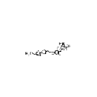 CCCc1cnc(N2CCC(CCCOc3cc(F)c(CC(=O)NC(CO)(CO)CO)c(F)c3)CC2)nc1